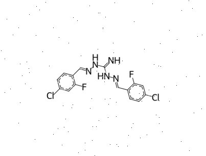 N=C(N/N=C/c1ccc(Cl)cc1F)N/N=C/c1ccc(Cl)cc1F